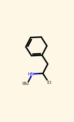 CCC(CC1=CC=CCC1)NC(C)(C)C